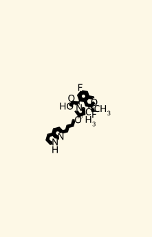 CC(C)(F)[C@H]1Cc2c(cc(F)cc2[C@H](C(=O)O)N2CC[C@@H](OCCCCc3ccc4c(n3)NCCC4)C2)CO1